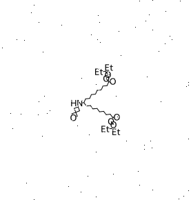 CCC(CC)OOC(=O)CCCCCCCCC(CCCCCCCCC(=O)OOC(CC)CC)NC1CC2(COC2)C1